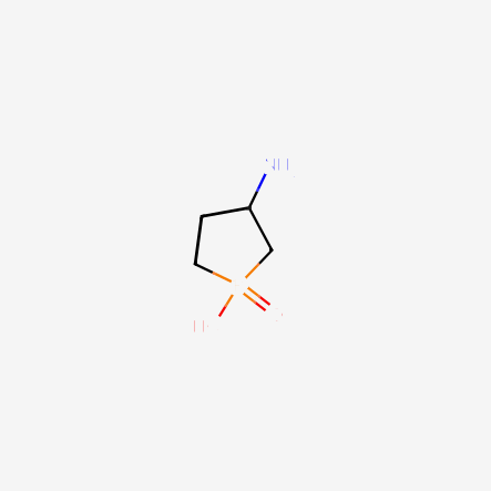 NC1CCP(=O)(O)C1